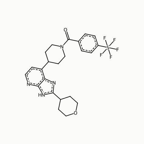 O=C(c1ccc(S(F)(F)(F)(F)F)cc1)N1CCC(c2ccnc3[nH]c(C4CCOCC4)nc23)CC1